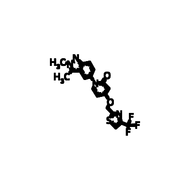 Cc1c2cc(-n3ccc(OCc4nc(C(F)(F)F)cs4)cc3=O)ccc2nn1C